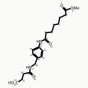 COC(=O)CCCCCCC(=O)Nc1ccc(CNC(=O)CCC(=O)O)cc1